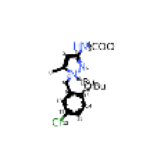 CC1=CC(NC(=O)[O-])=N[N+]1(Cc1cc(Cl)ccc1OCC(C)C)C(C)(C)C